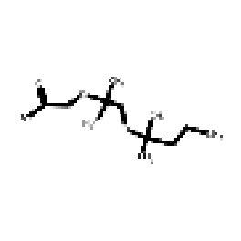 CC(C)C(=O)COC(C)(C)COC(C)(C)CCN